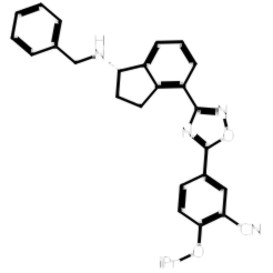 CC(C)Oc1ccc(-c2nc(-c3cccc4c3CC[C@@H]4NCc3ccccc3)no2)cc1C#N